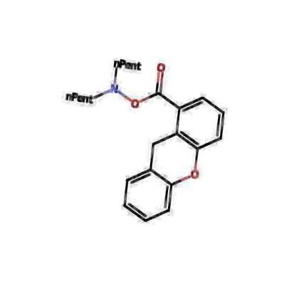 CCCCCN(CCCCC)OC(=O)c1cccc2c1Cc1ccccc1O2